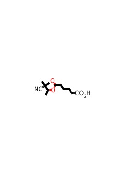 CC(OC(=O)CCCCC(=O)O)C(C)(C)C#N